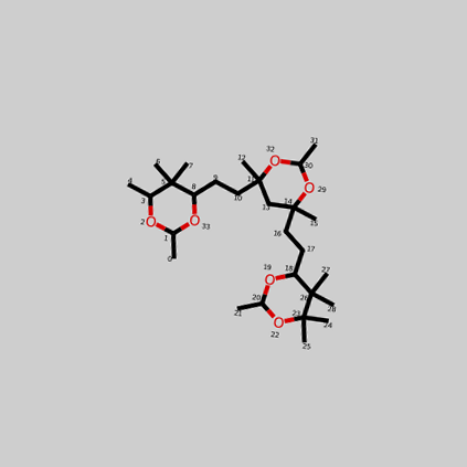 CC1OC(C)C(C)(C)C(CCC2(C)CC(C)(CCC3OC(C)OC(C)(C)C3(C)C)OC(C)O2)O1